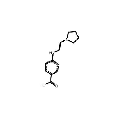 O=C(O)c1ccc(NCCN2CCCC2)nc1